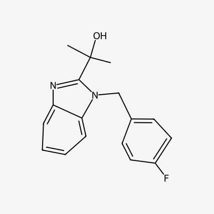 CC(C)(O)c1nc2ccccc2n1Cc1ccc(F)cc1